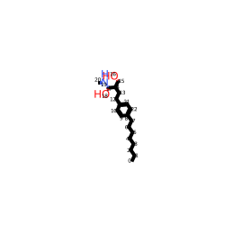 CCCCCCCCc1ccc(CCC(CO)C(O)NC)cc1